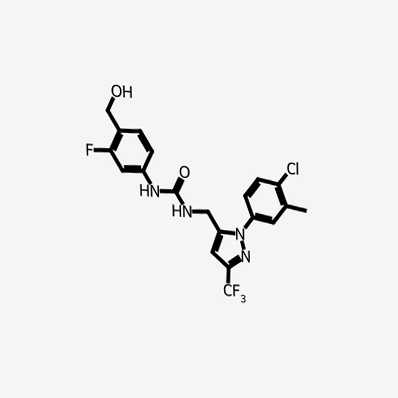 Cc1cc(-n2nc(C(F)(F)F)cc2CNC(=O)Nc2ccc(CO)c(F)c2)ccc1Cl